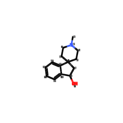 CN1CCC2(CC1)CC(O)c1ccccc12